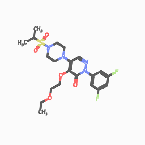 CCOCCOc1c(N2CCN(S(=O)(=O)C(C)C)CC2)cnn(-c2cc(F)cc(F)c2)c1=O